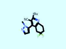 Cn1nccc1-c1c(C#N)c(C(C)(C)C)nc2c1CC(F)(F)CC2